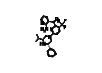 CC(C)C1CN(c2ccc(C(F)(F)F)c(C(=O)c3cccnc3N)n2)C[C@H](c2ccccc2)N1